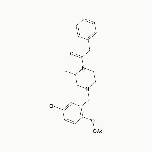 CC(=O)OOc1ccc(Cl)cc1CN1CCN(C(=O)Cc2ccccc2)C(C)C1